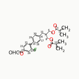 C=C(C)C(=O)OCC(COC(=O)C(=C)C)Cc1ccc(-c2ccc(OC=O)cc2F)cc1